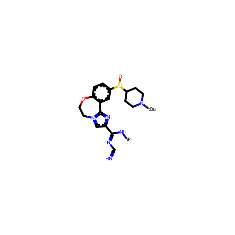 CC(C)N/C(=N\C=N)c1cn2c(n1)-c1cc([S+]([O-])C3CCN(C(C)(C)C)CC3)ccc1OCC2